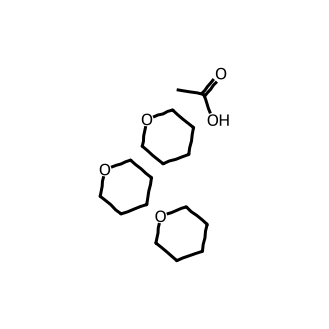 C1CCOCC1.C1CCOCC1.C1CCOCC1.CC(=O)O